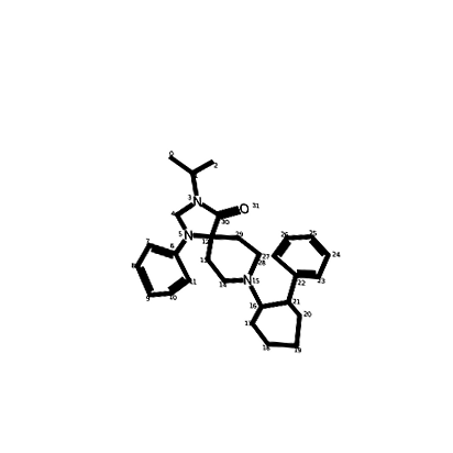 CC(C)N1CN(c2ccccc2)C2(CCN(C3CCCCC3c3ccccc3)CC2)C1=O